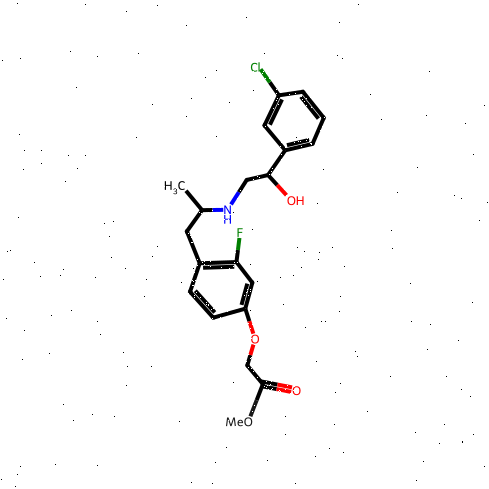 COC(=O)COc1ccc(CC(C)NCC(O)c2cccc(Cl)c2)c(F)c1